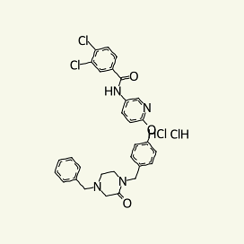 Cl.Cl.O=C(Nc1ccc(Oc2ccc(CN3CCN(Cc4ccccc4)CC3=O)cc2)nc1)c1ccc(Cl)c(Cl)c1